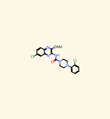 COc1nc2ccc(Cl)cc2nc1NC(=O)N1CCN(c2ccccc2Cl)CC1